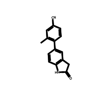 Cc1cc(C#N)ccc1-c1ccc2c(c1)CC(=O)N2